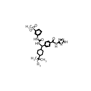 CC(C)(C)C1CCC(C(NC(=O)Nc2cccc(S(C)(=O)=O)c2)c2ccc(C(=O)Nc3nn[nH]n3)cc2)CC1